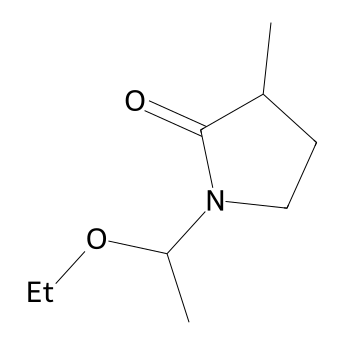 CCOC(C)N1CCC(C)C1=O